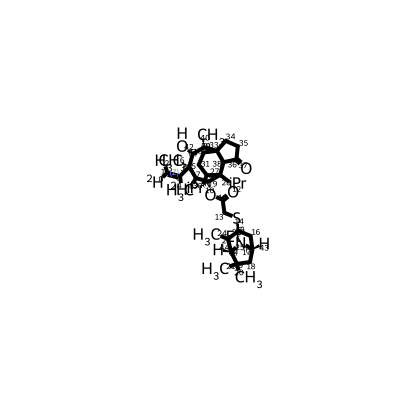 [2H]/C(C)=C(\[2H])[C@]1(C)C(C)[C@@H](OC(=O)CS[C@H]2C[C@@H]3CC(C)(C)[C@H](C2C)N3CC)C2(C(C)C)C(C(C)C)CCC3(CCC(=O)C32)[C@@H](C)[C@@H]1O